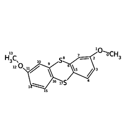 COc1ccc2c(c1)Sc1cc(OC)ccc1S2